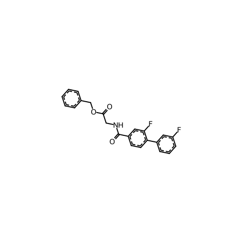 O=C(CNC(=O)c1ccc(-c2cccc(F)c2)c(F)c1)OCc1ccccc1